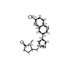 CN1C(=O)CCC1Cn1cc(-c2cnc3ccc(Cl)nc3c2)cn1